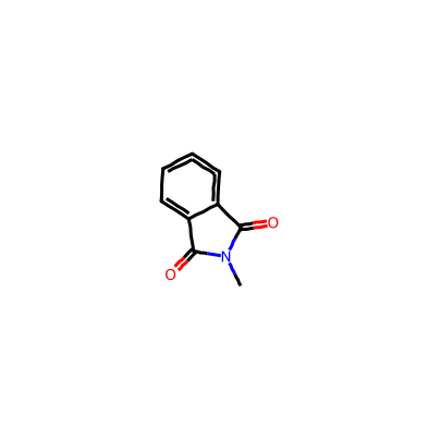 CN1C(=O)C2=C=C=CC=C2C1=O